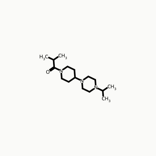 CC(C)C(=O)N1CCC(N2CCN(C(C)C)CC2)CC1